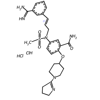 CS(=O)(=O)N(C/C=C/c1cccc(C(=N)N)c1)c1ccc(OC2CCN(C3=NCCC3)CC2)c(C(N)=O)c1.Cl.Cl